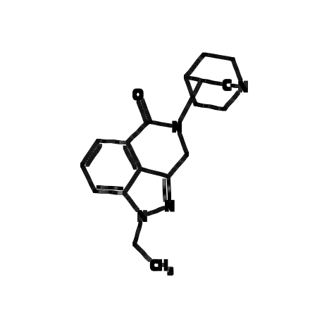 CCn1nc2c3c(cccc31)C(=O)N(C1CN3CCC1CC3)C2